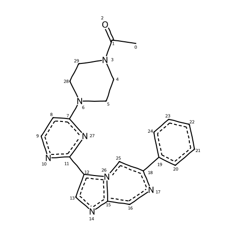 CC(=O)N1CCN(c2ccnc(-c3cnc4cnc(-c5ccccc5)cn34)n2)CC1